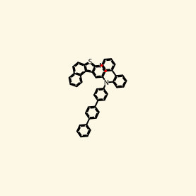 c1ccc(-c2ccc(-c3ccc(N(c4cnc5sc6ccc7ccccc7c6c5c4)c4ccccc4-c4ccccc4)cc3)cc2)cc1